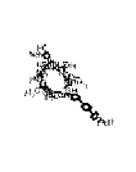 CCCCCOc1ccc(-c2ccc(-c3ccc(C(=O)N[C@H]4C[C@@H](O)[C@@H](OCCC)NC(=O)[C@@H]5[C@@H](O)[C@@H](C)CN5C(=O)[C@H]([C@@H](C)O)NC(=O)[C@H]([C@H](O)[C@@H](O)c5ccc(O)c(NC)c5)NC(=O)[C@@H]5C[C@@H](O)CN5C(=O)[C@H]([C@@H](C)O)NC4=O)cc3)cc2)cc1